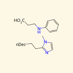 CCCCCCCCCCCCc1nccn1C.O=C(O)CCNc1ccccc1